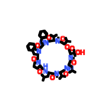 CC(C)CC1NC(=O)C2CCCN2C(=O)C(Cc2ccccc2)N(C)C(=O)C(Cc2ccccc2)NC(=O)C(C(C)C)N(C)C(=O)C(C(C)C)OC(=O)C(C(C)(C)O)N(C)C(=O)C(CC(C)C)NC(=O)C(C(C)C)N(C)C1=O